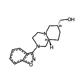 OC[C@@H]1CC[C@@H]2CN(c3noc4ccccc34)CCN2C1